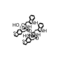 O=C(NO)[C@@H](Cc1c[nH]c2ccccc12)NS(=O)(=O)Cc1ccc2sccc2c1.O=C(O)[C@@H](Cc1c[nH]c2ccccc12)NS(=O)(=O)Cc1ccc2sccc2c1